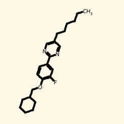 CCCCCCc1cnc(-c2ccc(OCC3CC[CH]CC3)c(F)c2)nc1